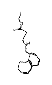 CCOC(=O)CCNCc1cccc2c1CCC=C2